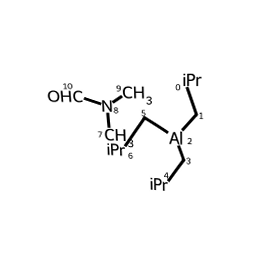 CC(C)[CH2][Al]([CH2]C(C)C)[CH2]C(C)C.CN(C)C=O